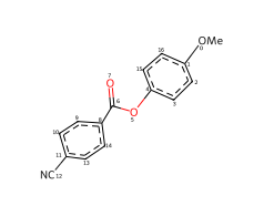 COc1ccc(OC(=O)c2ccc(C#N)cc2)cc1